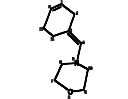 C1=CCC(=CN2CCOCC2)CC1